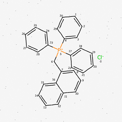 [Cl-].c1ccc([P+](Cc2cccc3ccccc23)(c2ccccc2)c2ccccc2)cc1